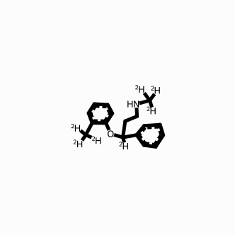 [2H]C([2H])([2H])NCCC([2H])(Oc1ccccc1C([2H])([2H])[2H])c1ccccc1